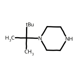 CC(C)(C)C(C)(C)N1CCNCC1